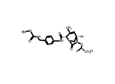 CCOC(=O)[C@@H](F)ON1C(=O)N2C[C@H]1C=C(C)[C@H]2C(=O)Nc1ccc(CNC(=O)OC(C)(C)C)cc1